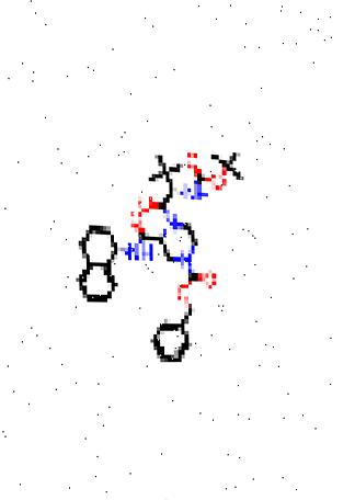 CC(C)(C)OC(=O)N[C@H](C(=O)N1CCN(C(=O)OCc2ccccc2)C[C@H]1C(=O)N[C@@H]1CCCc2ccccc21)C(C)(C)C